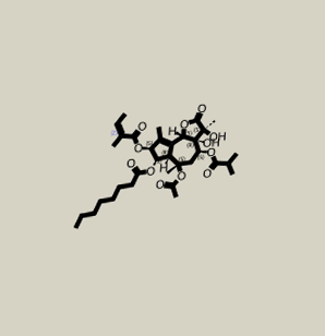 C/C=C(/C)C(=O)O[C@H]1C(C)=C2[C@H]([C@@H]1OC(=O)CCCCCCC)[C@@](C)(OC(C)=O)C[C@H](OC(=O)C(C)C)[C@@]1(O)[C@H]2OC(=O)[C@@]1(C)O